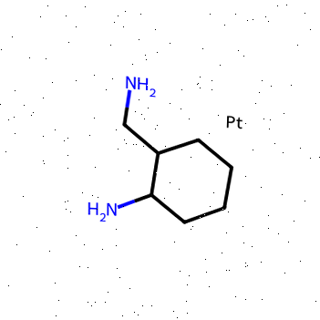 NCC1CCCCC1N.[Pt]